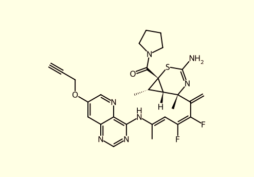 C#CCOc1cnc2c(N/C(C)=C/C(F)=C(/F)C(=C)[C@@]3(C)N=C(N)S[C@]4(C(=O)N5CCCC5)[C@H]3[C@@H]4C)ncnc2c1